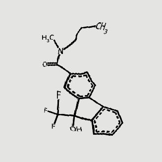 CCCN(C)C(=O)c1ccc2c(c1)C(O)(C(F)(F)F)c1ccccc1-2